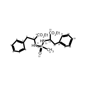 CCOC(=O)C(Cc1ccccc1)NP(C)(=O)NC(Cc1ccccc1)C(=O)OCC